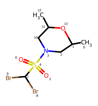 CC1CN(S(=O)(=O)C(Br)Br)CC(C)O1